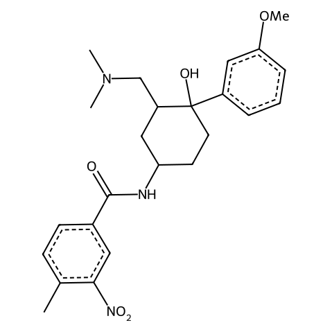 COc1cccc(C2(O)CCC(NC(=O)c3ccc(C)c([N+](=O)[O-])c3)CC2CN(C)C)c1